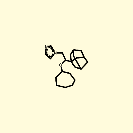 c1cn(CC(OC2CCCCCC2)C23CC4CC(CC(C4)C2)C3)cn1